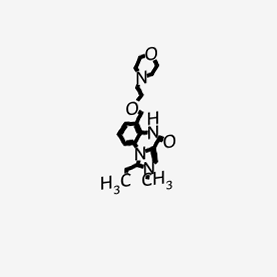 CCC1N(C)C=C2C(=O)Nc3c(COCCN4CCOCC4)cccc3N21